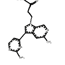 CNC(=O)CCn1cc(-c2ccnc(N)n2)c2cc(C)ncc21